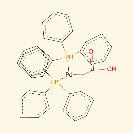 O=C(O)[CH2][Pd]([PH](c1ccccc1)(c1ccccc1)c1ccccc1)[PH](c1ccccc1)(c1ccccc1)c1ccccc1